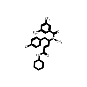 CN(C(=O)c1cc(C(F)(F)F)cc(C(F)(F)F)c1)C(C=CC(=O)NC1CCCCC1)Cc1ccc(Cl)cc1